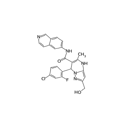 CC1=C(C(=O)Nc2ccc3cnccc3c2)C(c2ccc(Cl)cc2F)n2nc(CO)cc2N1